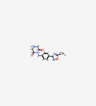 Cc1nc(-c2ccc(CN3C(=O)CNCC3=O)cc2)no1